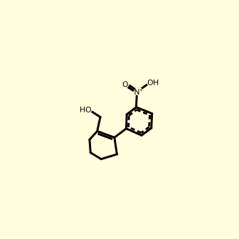 O=[N+](O)c1cccc(C2=C(CO)CCCC2)c1